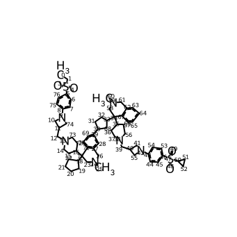 CCS(=O)(=O)c1ccc(N2CC(CN3CCC(C4(C5CCCC5)CN(C)Cc5cc(C6CCC(C7(C8CCN(CC9CN(c%10ccc(S(=O)(=O)C%11CC%11)cc%10)C9)CC8)CN(C)Cc8ccccc87)C6)ccc54)CC3)C2)cc1